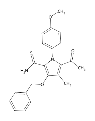 COc1ccc(-n2c(C(C)=O)c(C)c(OCc3ccccc3)c2C(N)=S)cc1